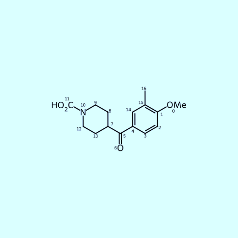 COc1ccc(C(=O)C2CCN(C(=O)O)CC2)cc1C